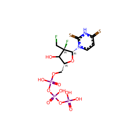 O=P(O)(O)OP(=O)(O)OP(=O)(O)OC[C@H]1O[C@@H](n2ccc(=S)[nH]c2=S)[C@@](F)(CF)C1O